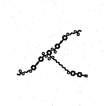 C=CC(=O)OCCCOc1ccc(C#Cc2ccc(C(=O)Oc3ccc(OC(=O)c4ccc(C#Cc5ccc(OCCCOC(=O)C=C)cc5)cc4)c(C(=O)OCCCCCCCCCCOc4ccc(-c5ccc(C#N)cc5)cc4)c3)cc2)cc1